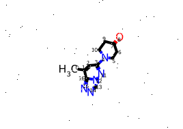 Cc1cc(N2CCC(=O)CC2)nn2cnnc12